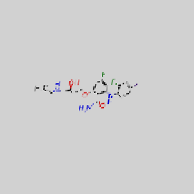 CCNCC(O)CCOc1cc(F)cc(Nc2ccc(I)cc2F)c1C(N)=O